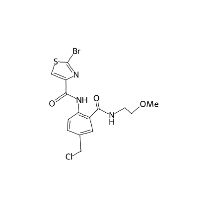 COCCNC(=O)c1cc(CCl)ccc1NC(=O)c1csc(Br)n1